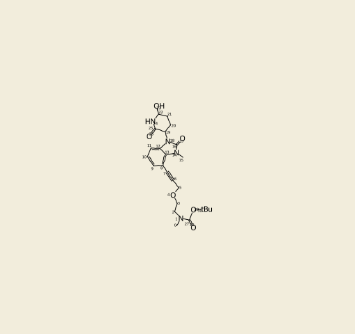 CN(CCOCC#Cc1cccc2c1n(C)c(=O)n2C1CCC(O)NC1=O)C(=O)OC(C)(C)C